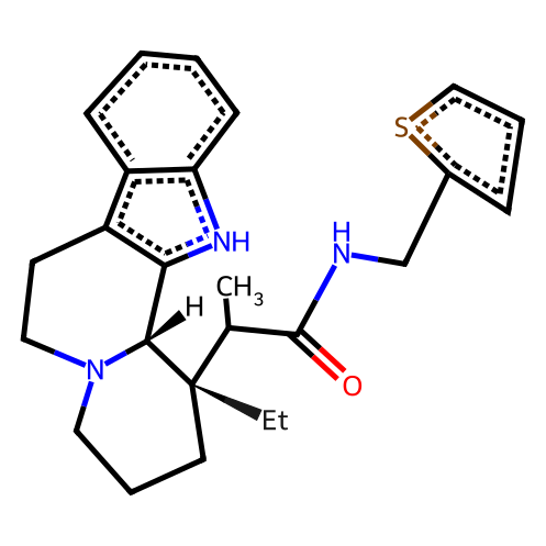 CC[C@@]1(C(C)C(=O)NCc2cccs2)CCCN2CCc3c([nH]c4ccccc34)[C@@H]21